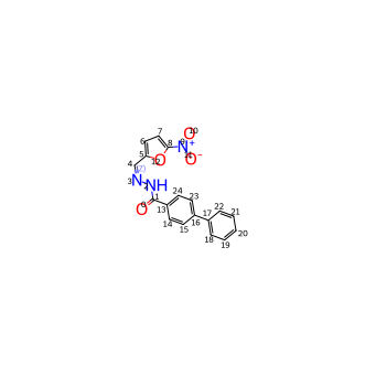 O=C(N/N=C\c1ccc([N+](=O)[O-])o1)c1ccc(-c2ccccc2)cc1